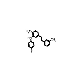 Cc1cccc(CCc2ccc(C)c(Nc3ccc(F)cc3)c2)c1